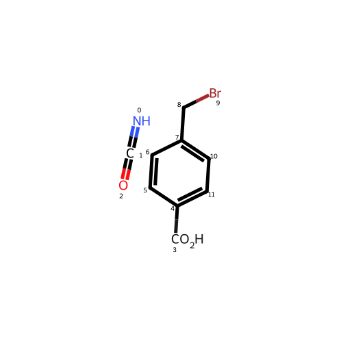 N=C=O.O=C(O)c1ccc(CBr)cc1